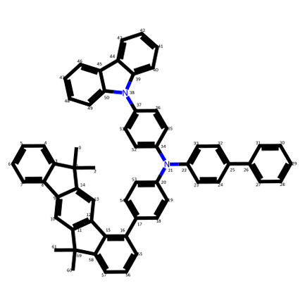 CC1(C)c2ccccc2-c2cc3c(cc21)-c1c(-c2ccc(N(c4ccc(-c5ccccc5)cc4)c4ccc(-n5c6ccccc6c6ccccc65)cc4)cc2)cccc1C3(C)C